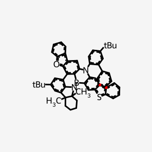 CC(C)(C)c1ccc(N2c3cc4c(cc3B3c5c2cc2c(oc6ccccc62)c5-c2cc(C(C)(C)C)cc5c2N3C2(C)CCCCC52C)sc2ccccc24)c(-c2ccccc2)c1